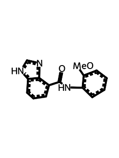 COc1ccccc1NC(=O)c1cccc2[nH]cnc12